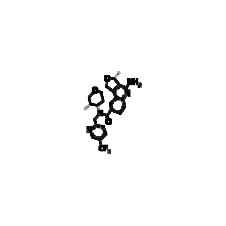 C[C@@H]1COCC[C@@H]1N(Cc1ccc(C(F)(F)F)cn1)C(=O)c1ccc2nc(N)c3c(c2c1)CO[C@@H]3C